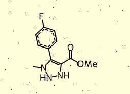 COC(=O)C1=C(c2ccc(F)cc2)N(C)NN1